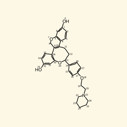 Oc1ccc2c(c1)OCC1=C2CCC(c2ccc(OCCN3CCCCC3)cc2)Oc2cc(O)ccc21